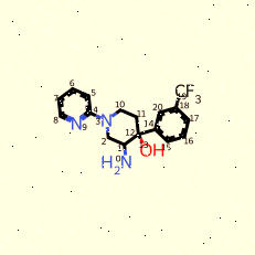 NC1CN(c2ccccn2)CCC1(O)c1cccc(C(F)(F)F)c1